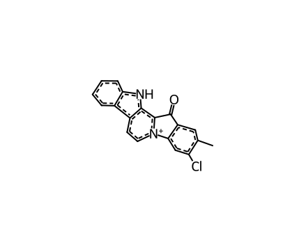 Cc1cc2c(cc1Cl)-[n+]1ccc3c([nH]c4ccccc43)c1C2=O